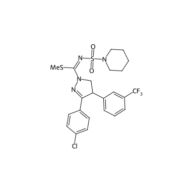 CSC(=NS(=O)(=O)N1CCCCC1)N1CC(c2cccc(C(F)(F)F)c2)C(c2ccc(Cl)cc2)=N1